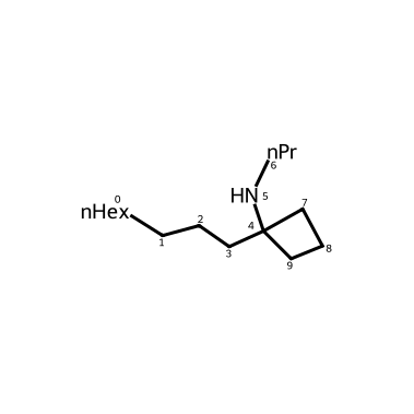 CCCCCCCCCC1(NCCC)CCC1